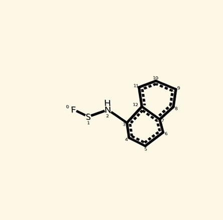 FSNc1cccc2ccccc12